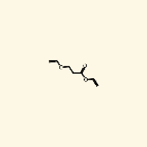 C=COCCC(=O)OC=C